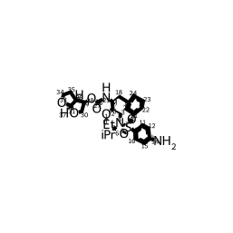 CCO[C@H](CN(CC(C)C)S(=O)(=O)c1ccc(N)cc1)[C@H](Cc1ccccc1)NC(=O)O[C@H]1CO[C@H]2OCC[C@H]21